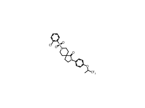 CC(Oc1ccc(N2CCC3(CCN(S(=O)(=O)c4ccccc4Cl)CC3)C2=O)cc1)C(F)(F)F